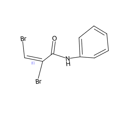 O=C(Nc1ccccc1)/C(Br)=C\Br